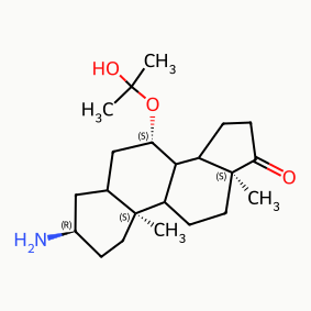 CC(C)(O)O[C@H]1CC2C[C@H](N)CC[C@]2(C)C2CC[C@]3(C)C(=O)CCC3C21